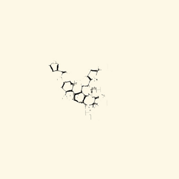 COc1cc(OC(=O)c2ccsc2)ccc1-c1ccc2c(c1C(O)C(=O)c1ccc(C)s1)N(C)C(=O)C(C)(C)N2